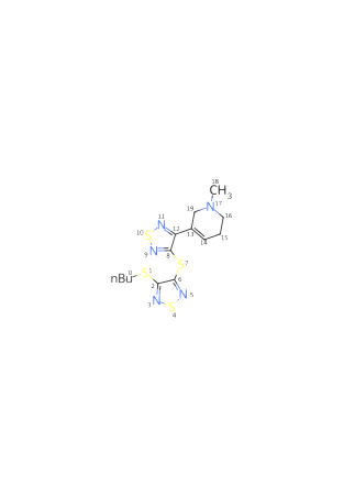 CCCCSc1nsnc1Sc1nsnc1C1=CCCN(C)C1